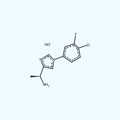 C[C@H](N)c1cn(-c2ccc(Cl)c(F)c2)cn1.Cl